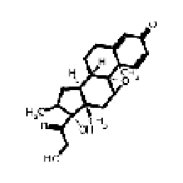 CC1C[C@H]2[C@@H]3CCC4=CC(=O)C=C[C@]4(C)[C@]34OC4C[C@]2(C)[C@@]1(O)C(=O)CO